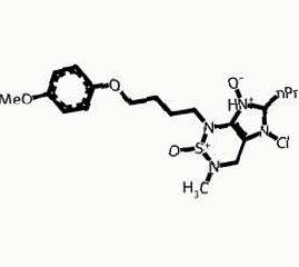 CCCC1N(Cl)C2=C(N(CCCCOc3ccc(OC)cc3)[S+]([O-])N(C)C2)[NH+]1[O-]